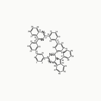 c1ccc(-c2nc(-c3cccc(-c4cccc(-c5nc(-c6ccccc6)c6ccccc6n5)c4)c3)n3c(-c4ccccc4)c4ccccc4c3n2)cc1